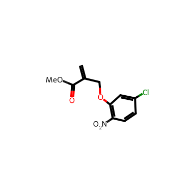 C=C(COc1cc(Cl)ccc1[N+](=O)[O-])C(=O)OC